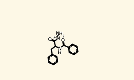 NNC(=O)C(Cc1ccccc1)NC(=O)c1ccccc1